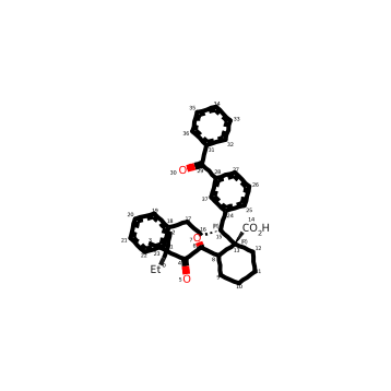 CCC(C)(C)C(=O)C(=O)C1CCCC[C@@]1(C(=O)O)[C@H](CCc1ccccc1)c1cccc(C(=O)c2ccccc2)c1